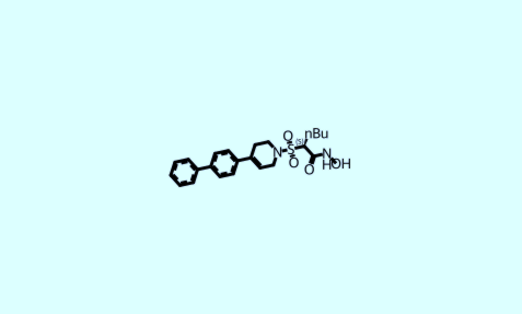 CCCC[C@@H](C(=O)NO)S(=O)(=O)N1CC=C(c2ccc(-c3ccccc3)cc2)CC1